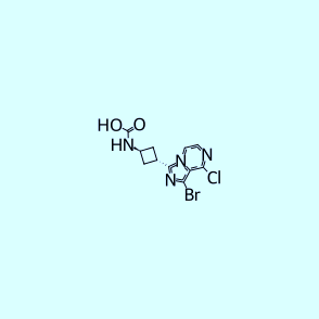 O=C(O)N[C@H]1C[C@H](c2nc(Br)c3c(Cl)nccn32)C1